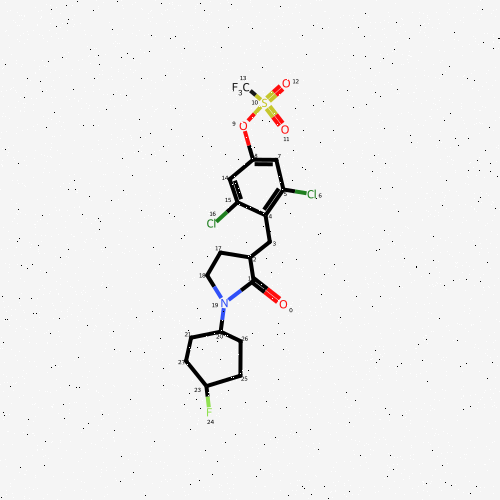 O=C1C(Cc2c(Cl)cc(OS(=O)(=O)C(F)(F)F)cc2Cl)CCN1C1CCC(F)CC1